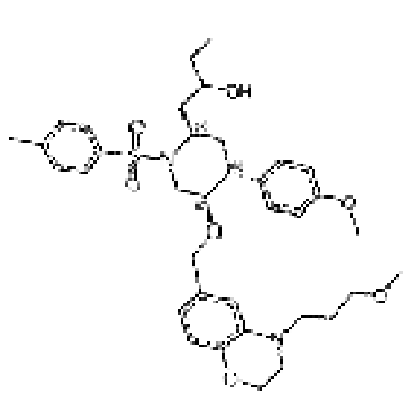 CCC(O)C[C@H]1C[C@H](c2ccc(OC)cc2)[C@@H](OCc2ccc3c(c2)N(CCCOC)CCO3)CN1S(=O)(=O)c1ccc(C)cc1